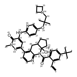 C=Cc1cc(C(C)(C)C)cc(F)c1C(=O)N1c2nccc(-c3cc(Nc4ccc(OC(C)(C)CN5CCC5)cn4)c(=O)n(C)n3)c2CC2CCCC21O